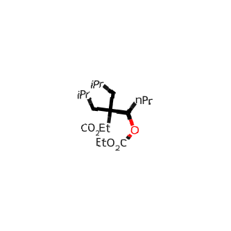 CCCC(OC(=O)OCC)C(CC(C)C)(CC(C)C)C(=O)OCC